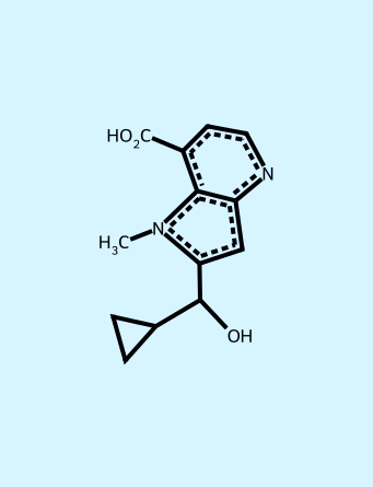 Cn1c(C(O)C2CC2)cc2nccc(C(=O)O)c21